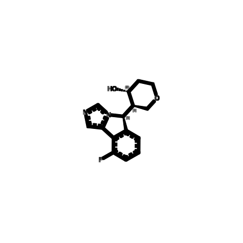 O[C@@H]1CCOC[C@H]1[C@H]1c2cccc(F)c2-c2cncn21